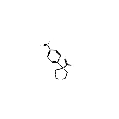 NC(=O)C1(c2ccc(C(=O)O)cc2)CCOCC1